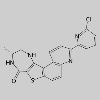 C[C@@H]1CNc2c(sc3ccc4nc(-c5cccc(Cl)n5)ccc4c23)C(=O)N1